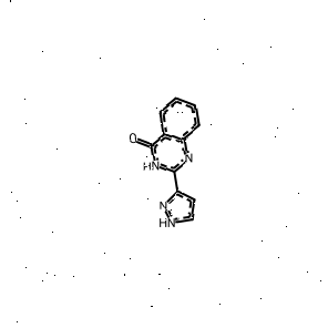 O=c1[nH]c(-c2cc[nH]n2)nc2ccccc12